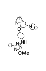 COc1nc(Cl)nc(N[C@H]2CC[C@@H](Oc3cc(N4CCOCC4)cc4nccnc34)CC2)n1